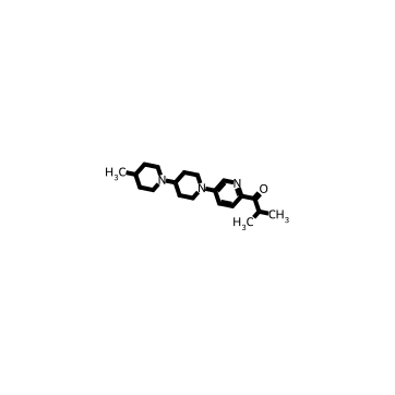 CC1CCN(C2CCN(c3ccc(C(=O)C(C)C)nc3)CC2)CC1